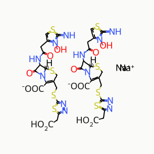 N=c1scc(CC(=O)NC2C(=O)N3C(C(=O)[O-])=C(CSc4nnc(CC(=O)O)s4)CS[C@H]23)n1O.N=c1scc(CC(=O)NC2C(=O)N3C(C(=O)[O-])=C(CSc4nnc(CC(=O)O)s4)CS[C@H]23)n1O.[Na+].[Na+]